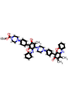 Cc1c2nc3ccccc3oc-2c(-c2ccc(N3CCN(c4c5nc6ccccc6oc-5c(-c5ccc(N6CCN(C(=O)OC(C)(C)C)CC6)cc5)c(=O)c4C)CC3)cc2)c(=O)c1C